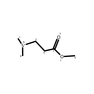 COC(=O)CC[S+](C)C